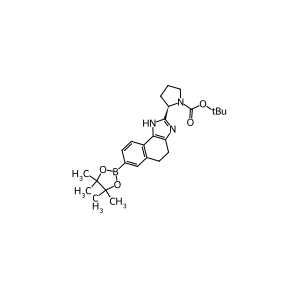 CC(C)(C)OC(=O)N1CCC[C@@H]1c1nc2c([nH]1)-c1ccc(B3OC(C)(C)C(C)(C)O3)cc1CC2